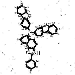 c1ccc(C2Nc3ccc4c(N(c5ccc6c(c5)oc5ccccc56)c5ccc6c(c5)oc5ccccc56)cccc4c3O2)cc1